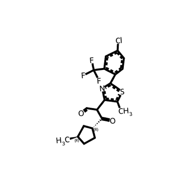 Cc1sc(-c2ccc(Cl)cc2C(F)(F)F)nc1C(C=O)C(=O)[C@@H]1CC[C@@H](C)C1